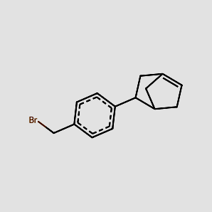 BrCc1ccc(C2CC3=CCC2C3)cc1